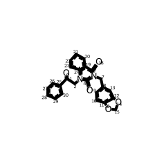 O=C(Cn1c(=O)n(Cc2ccc3c(c2)OCO3)c(=O)c2ccccc21)c1ccccc1